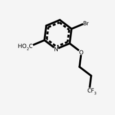 O=C(O)c1ccc(Br)c(OCCC(F)(F)F)n1